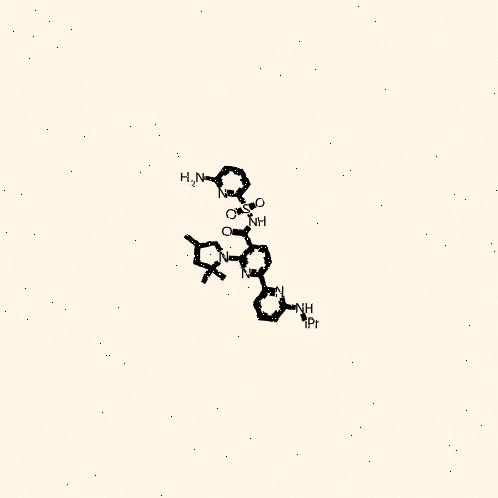 CC1CN(c2nc(-c3cccc(NC(C)C)n3)ccc2C(=O)NS(=O)(=O)c2cccc(N)n2)C(C)(C)C1